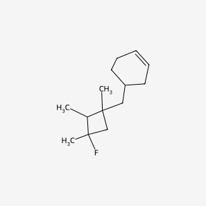 CC1C(C)(F)CC1(C)CC1CC=CCC1